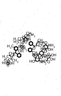 CC1(C)O[C@@H]2[C@@H](CO[C@@]3(COS(N)(=O)=O)OC(C)(C)O[C@@H]23)O1.CNCC[C@@H](Oc1ccccc1C)c1ccccc1.Cc1ccc(O)c([C@H](CCN(C(C)C)C(C)C)c2ccccc2)c1.NC[C@H]1O[C@H](O[C@H]2[C@H](O)[C@@H](O[C@H]3O[C@H](CO)[C@@H](O)[C@H](N)[C@H]3O)[C@H](N)C[C@@H]2N)[C@H](N)C[C@@H]1O.O=C(O)C(O)C(O)C(=O)O.O=S(=O)(O)O